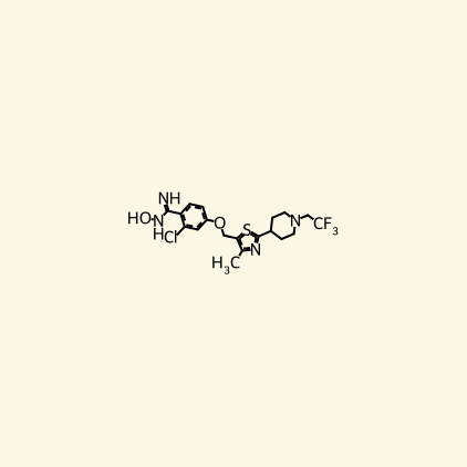 Cc1nc(C2CCN(CC(F)(F)F)CC2)sc1COc1ccc(C(=N)NO)c(Cl)c1